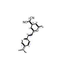 C=C(/C=C\C(=C/C)N(C)C)/C=C/C1=CC(=C(C#N)C#N)C=C(C)O1